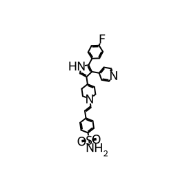 NS(=O)(=O)c1ccc(C=CN2CC=C(c3c[nH]c(-c4ccc(F)cc4)c3-c3ccncc3)CC2)cc1